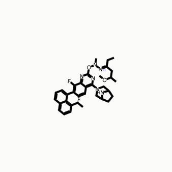 CC/C(CC(C)OC)=N\N(C)Oc1nc(N2CC3CCC(C2)N3)c2cc(F)c(-c3cccc4cccc(CC)c34)c(F)c2n1